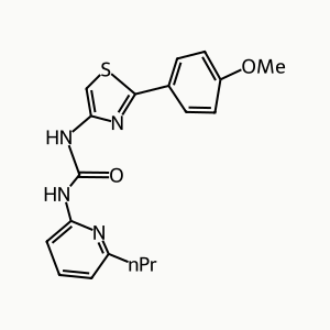 CCCc1cccc(NC(=O)Nc2csc(-c3ccc(OC)cc3)n2)n1